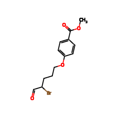 COC(=O)c1ccc(OCCCC(Br)C=O)cc1